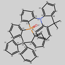 CC1(C)c2ccccc2N(c2ccccc2P2(=O)c3ccccc3[Si](c3ccccc3)(c3ccccc3)c3ccccc32)c2ccccc21